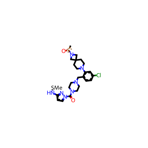 CSNc1ccn(C(=O)N2CCN(Cc3ccc(Cl)cc3N3CCC4(CC3)CN([S+](C)[O-])C4)CC2)n1